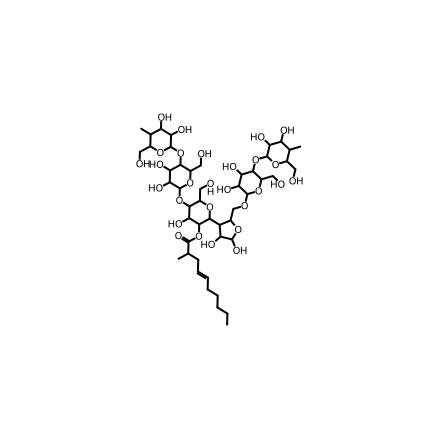 CCCCCC=CCC(C)C(=O)OC1C(O)C(OC2OC(CO)C(OC3OC(CO)C(C)C(O)C3O)C(O)C2O)C(CO)OC1C1C(COC2OC(CO)C(OC3OC(CO)C(C)C(O)C3O)C(O)C2O)OC(O)C1O